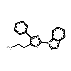 O=C(O)CCc1oc(-n2cnc3ccccc32)nc1-c1ccccc1